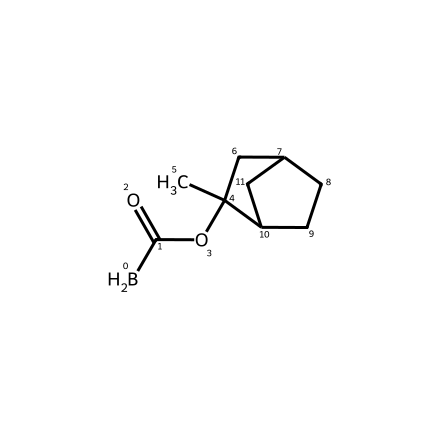 BC(=O)OC1(C)CC2CCC1C2